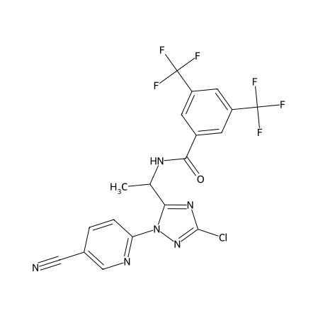 CC(NC(=O)c1cc(C(F)(F)F)cc(C(F)(F)F)c1)c1nc(Cl)nn1-c1ccc(C#N)cn1